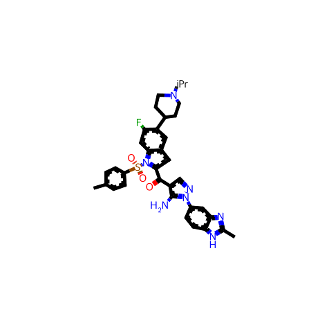 Cc1ccc(S(=O)(=O)n2c(C(=O)c3cnn(-c4ccc5[nH]c(C)nc5c4)c3N)cc3cc(C4CCN(C(C)C)CC4)c(F)cc32)cc1